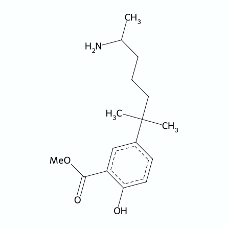 COC(=O)c1cc(C(C)(C)CCCC(C)N)ccc1O